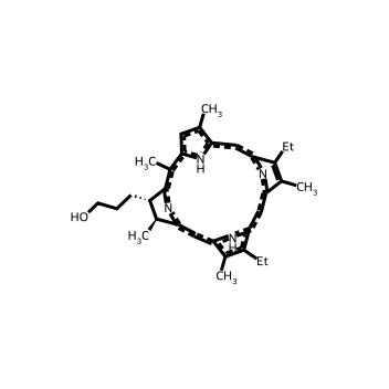 CCC1=C(C)c2cc3[nH]c(cc4nc(c(C)c5cc(C)c(cc1n2)[nH]5)[C@@H](CCCO)[C@@H]4C)c(C)c3CC